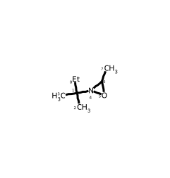 CCC(C)(C)N1OC1C